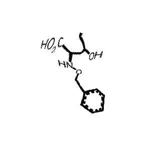 CC(O)C(NOCc1ccccc1)C(=O)O